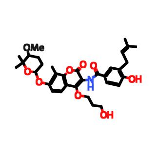 COC1CCC(Oc2ccc3c(OCCCO)c(NC(=O)c4ccc(O)c(CC=C(C)C)c4)c(=O)oc3c2C)OC1(C)C